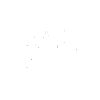 CC[C@]1(O)CC[C@@H]2CC[C@@H]3[C@H](CC[C@]4(C)[C@@H]([C@H](C)CC[C@@](C)(O)C(F)(F)F)CC[C@@H]34)[C@@]2(C)CC1